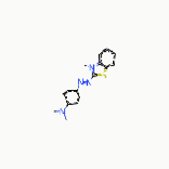 CN(C)c1ccc(N=Nc2sc3ccccc3[n+]2C)cc1